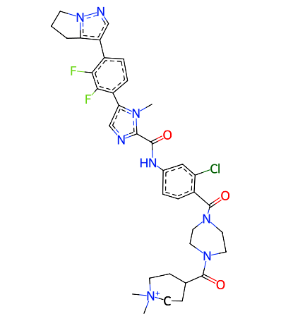 Cn1c(-c2ccc(-c3cnn4c3CCC4)c(F)c2F)cnc1C(=O)Nc1ccc(C(=O)N2CCN(C(=O)C3CC[N+](C)(C)CC3)CC2)c(Cl)c1